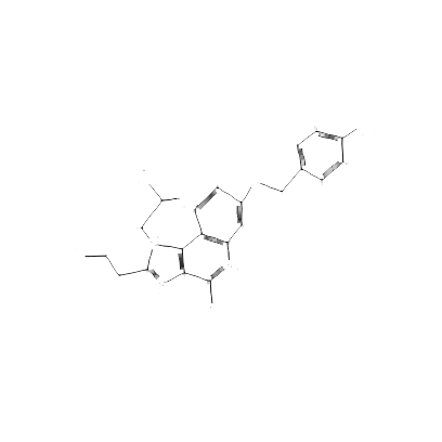 CCCc1nc2c(N)nc3cc(OCc4ccc(C)cc4)ccc3c2n1CC(C)C